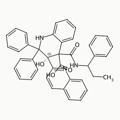 CCC(NC(=O)C1(C(=O)O)c2ccccc2NC(c2ccccc2)(c2ccccc2)[C@]1(O)c1ccc2ccccc2n1)c1ccccc1